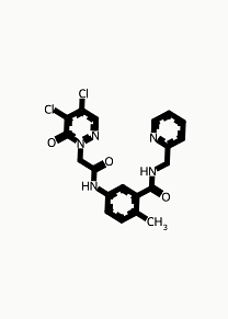 Cc1ccc(NC(=O)Cn2ncc(Cl)c(Cl)c2=O)cc1C(=O)NCc1ccccn1